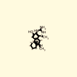 COc1c2c(cc(O)c1NC(=N)N)[C@@]13CCCC[C@H]1[C@@H](C2)N(C)CC3